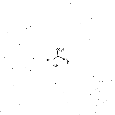 CCCCC(C(=O)O)C(=O)O.[LiH].[NaH]